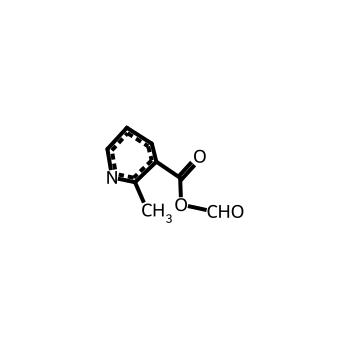 Cc1ncccc1C(=O)OC=O